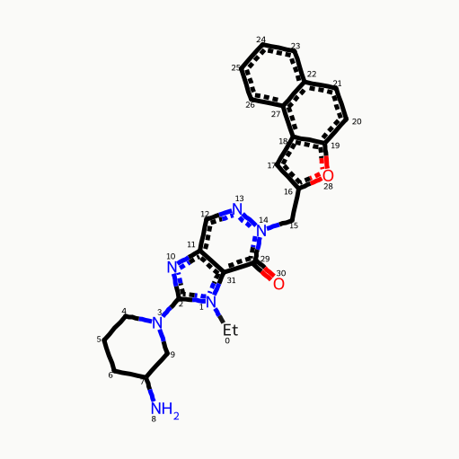 CCn1c(N2CCCC(N)C2)nc2cnn(Cc3cc4c(ccc5ccccc54)o3)c(=O)c21